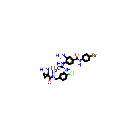 C=C(Nc1ccc(C(=O)Nc2ccc(Br)cc2)cc1N)Nc1cc(CNC(=O)C2(CN)CC2)ccc1Cl